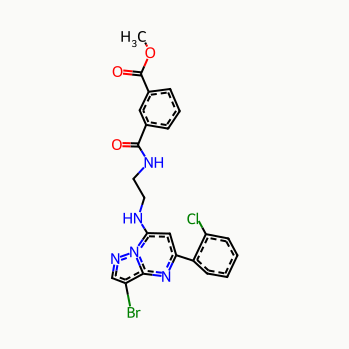 COC(=O)c1cccc(C(=O)NCCNc2cc(-c3ccccc3Cl)nc3c(Br)cnn23)c1